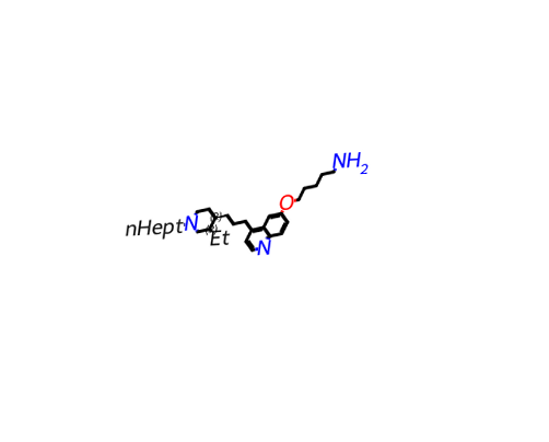 CCCCCCCN1CC[C@@H](CCCc2ccnc3ccc(OCCCCCN)cc23)[C@@H](CC)C1